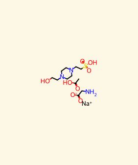 CC(=O)O.NCC(=O)[O-].O=S(=O)(O)CCN1CCN(CCO)CC1.[Na+]